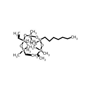 C=C[Si](C)(C)O[Si](C)(C=C)O[Si](C)(C)O[Si](C)(CCCCCCC)O[Si](C)(C)C=C